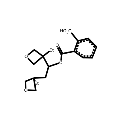 CCC1(CC(OC(=O)c2ccccc2C(=O)O)C2(CC)COC2)COC1